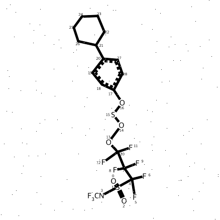 O=S(=O)(NC(F)(F)F)C(F)(F)C(F)(F)C(F)(F)OOSOc1ccc(C2CCCCC2)cc1